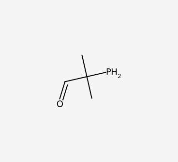 CC(C)(P)C=O